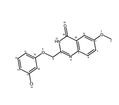 COc1ccc2nc(COc3cccc(Cl)c3)[nH]c(=O)c2c1